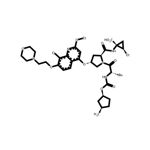 CCOc1cc(O[C@@H]2C[C@@H](C(=O)N[C@]3(C(=O)O)C[C@H]3CC)N(C(=O)[C@@H](NC(=O)O[C@H]3CC[C@@H](C)C3)C(C)(C)C)C2)c2ccc(OCCN3CCOCC3)c(Cl)c2n1